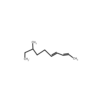 [CH2]CC(C)CCC=CC=CC